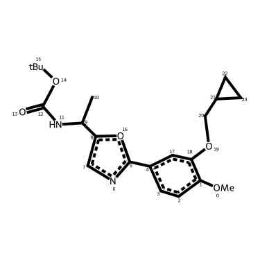 COc1ccc(-c2ncc(C(C)NC(=O)OC(C)(C)C)o2)cc1OCC1CC1